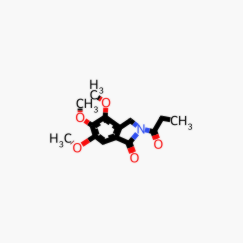 CCC(=O)N1Cc2c(cc(OC)c(OC)c2OC)C1=O